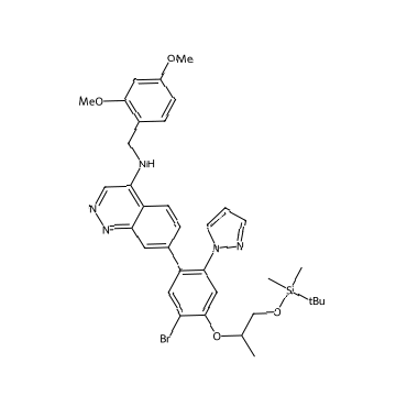 COc1ccc(CNc2cnnc3cc(-c4cc(Br)c(OC(C)CO[Si](C)(C)C(C)(C)C)cc4-n4cccn4)ccc23)c(OC)c1